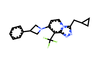 FC(F)(F)c1c(N2CC(c3ccccc3)C2)ccn2c(CC3CC3)nnc12